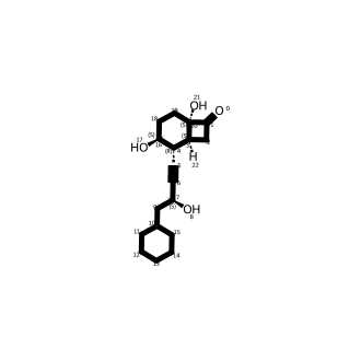 O=C1C[C@H]2[C@H](C#C[C@@H](O)CC3CCCCC3)[C@@H](O)CC[C@@]12O